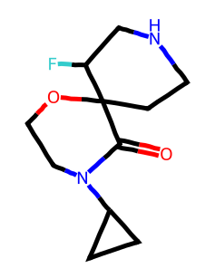 O=C1N(C2CC2)CCOC12CCNCC2F